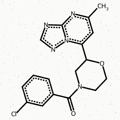 Cc1cc(C2CN(C(=O)c3cccc(Cl)c3)CCO2)n2ncnc2n1